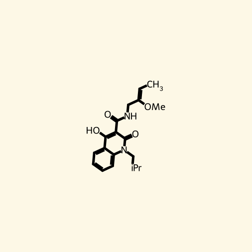 C/C=C(/CNC(=O)c1c(O)c2ccccc2n(CC(C)C)c1=O)OC